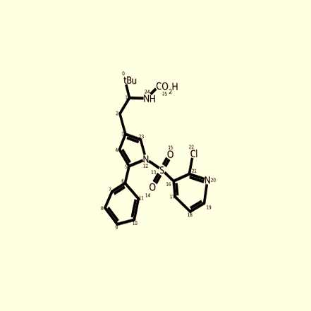 CC(C)(C)C(Cc1cc(-c2ccccc2)n(S(=O)(=O)c2cccnc2Cl)c1)NC(=O)O